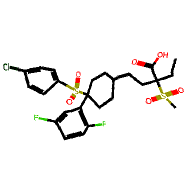 CCC(CCC1CCC(c2cc(F)ccc2F)(S(=O)(=O)c2ccc(Cl)cc2)CC1)(C(=O)O)S(C)(=O)=O